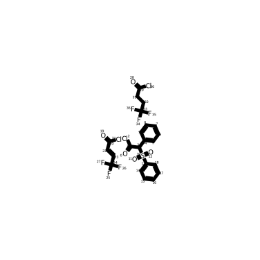 O=C(Cl)C(c1ccccc1)S(=O)(=O)c1ccccc1.O=C(Cl)C=CC(F)(F)F.O=C(Cl)CCC(F)(F)F